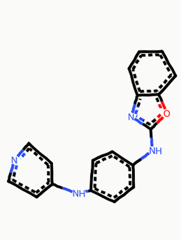 c1ccc2oc(Nc3ccc(Nc4ccncc4)cc3)nc2c1